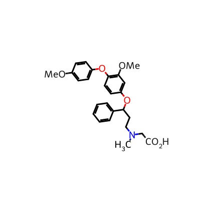 COc1ccc(Oc2ccc(OC(CCN(C)CC(=O)O)c3ccccc3)cc2OC)cc1